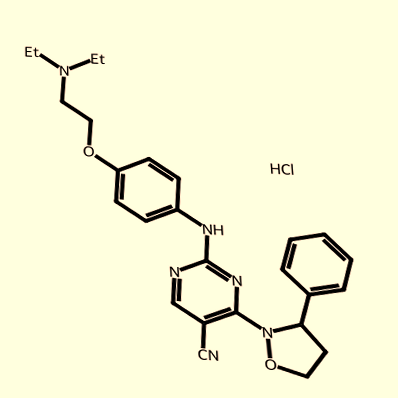 CCN(CC)CCOc1ccc(Nc2ncc(C#N)c(N3OCCC3c3ccccc3)n2)cc1.Cl